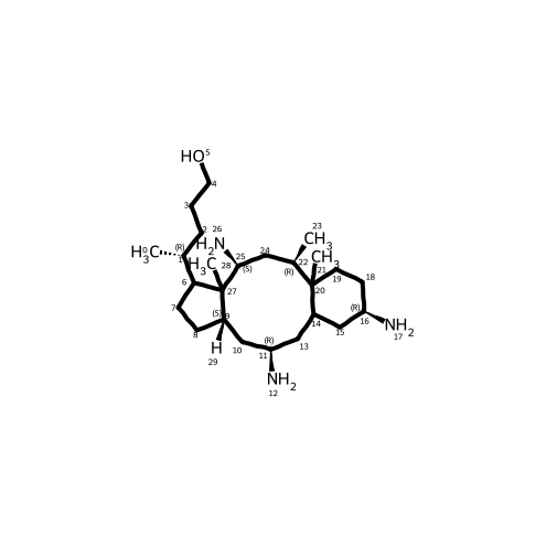 C[C@H](CCCO)C1CC[C@H]2C[C@H](N)CC3C[C@H](N)CCC3(C)[C@H](C)C[C@H](N)C12C